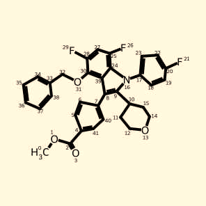 COC(=O)c1ccc(-c2c(C3CCOCC3)n(-c3ccc(F)cc3)c3c(F)cc(F)c(OCc4ccccc4)c23)cc1